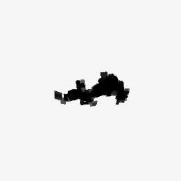 Cc1ccc(Nc2cc(C)nc(N3CCN(S(=O)(=O)c4cc(C(=O)Nc5cc(F)c(F)c(F)c5)ccc4F)CC3)n2)cc1